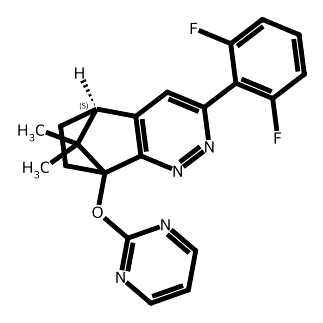 CC1(C)[C@H]2CCC1(Oc1ncccn1)c1nnc(-c3c(F)cccc3F)cc12